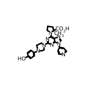 CC1(C(=O)O)CCCN1c1nc(N2CCN(c3ccc(O)cc3)CC2)nc2c1ncn2-c1ccncc1